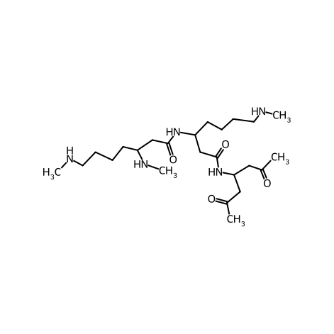 CNCCCCC(CC(=O)NC(CCCCNC)CC(=O)NC(CC(C)=O)CC(C)=O)NC